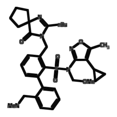 CCCCC1=NC2(CCCC2)C(=O)N1Cc1cccc(-c2ccccc2CNC)c1S(=O)(=O)N(COC)c1noc(C)c1C1CC1